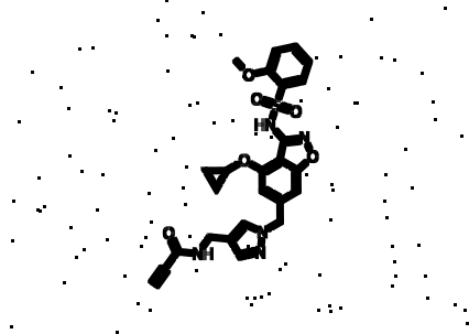 C#CC(=O)NCc1cnn(Cc2cc(OC3CC3)c3c(NS(=O)(=O)c4ccccc4OC)noc3c2)c1